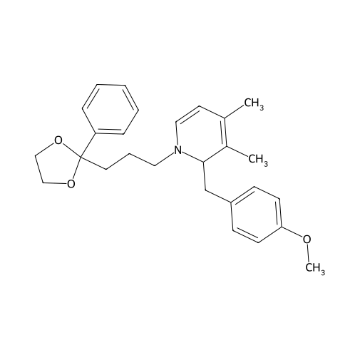 COc1ccc(CC2C(C)=C(C)C=CN2CCCC2(c3ccccc3)OCCO2)cc1